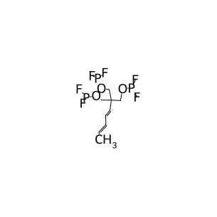 C/C=C/C=C/C(COP(F)F)(COP(F)F)COP(F)F